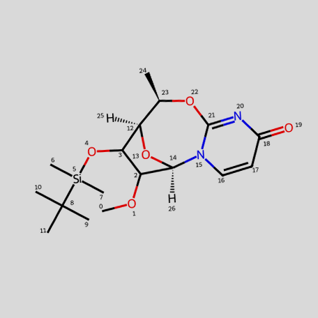 COC1C(O[Si](C)(C)C(C)(C)C)[C@@H]2O[C@H]1n1ccc(=O)nc1O[C@@H]2C